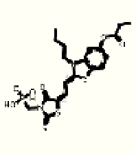 CCCCN1/C(=C/C=C2/SC(=S)N(CP(=O)(O)O)C2=O)Sc2ccc(OC(=O)CC)cc21